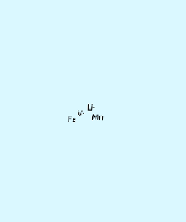 [Fe].[Li].[Mn].[V]